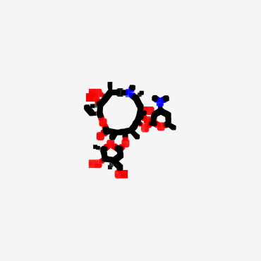 CC[C@H]1OC(=O)C(C)C(OC2C[C@@](C)(CO)[C@@H](O)[C@H](C)O2)[C@H](C)[C@@H](O[C@@H]2O[C@H](C)C[C@H](N(C)C)[C@H]2O)[C@@](C)(O)C[C@@H](C)N(C)C[C@H](C)[C@@H](O)[C@]1(C)O